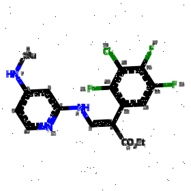 CCOC(=O)C(=CNc1cc(NC(C)(C)C)ccn1)c1cc(F)c(F)c(Cl)c1F